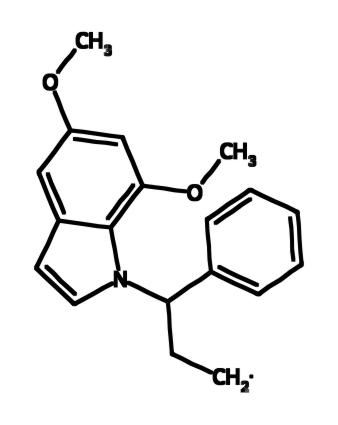 [CH2]CC(c1ccccc1)n1ccc2cc(OC)cc(OC)c21